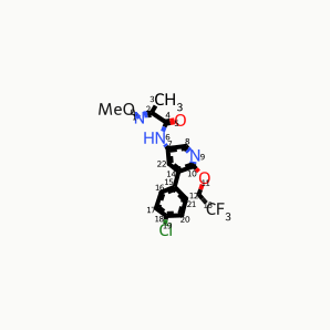 CON=C(C)C(=O)Nc1cnc(OCC(F)(F)F)c(-c2ccc(Cl)cc2)c1